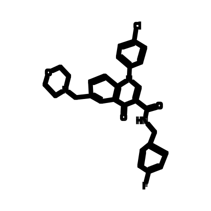 O=C(NCc1ccc(F)cc1)c1cn(-c2ccc(Cl)cc2)c2ccc(CN3CCOCC3)cc2c1=O